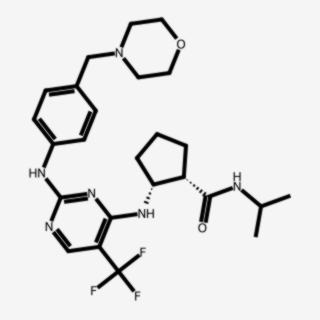 CC(C)NC(=O)[C@H]1CCC[C@H]1Nc1nc(Nc2ccc(CN3CCOCC3)cc2)ncc1C(F)(F)F